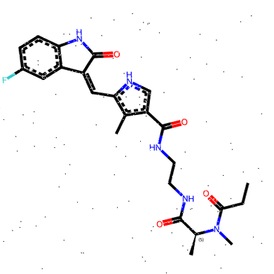 CCC(=O)N(C)[C@@H](C)C(=O)NCCNC(=O)c1c[nH]c(C=C2C(=O)Nc3ccc(F)cc32)c1C